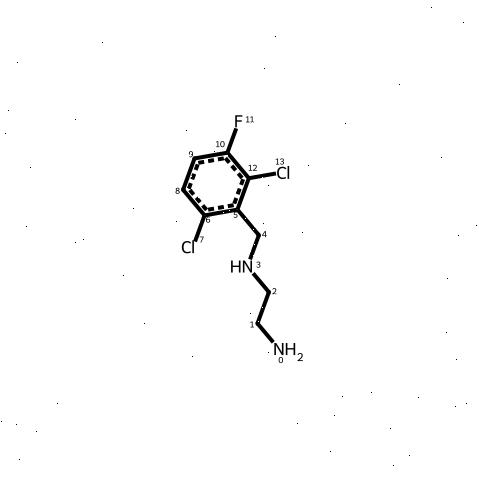 NCCNCc1c(Cl)ccc(F)c1Cl